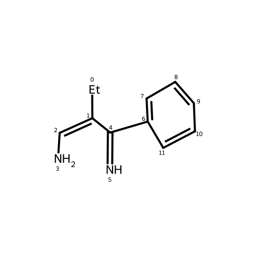 CC/C(=C/N)C(=N)c1ccccc1